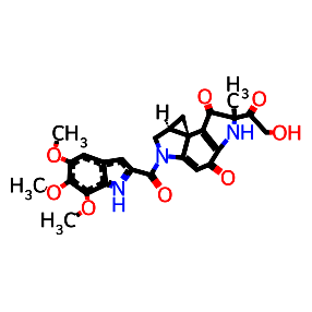 COc1cc2cc(C(=O)N3C[C@H]4C[C@@]45C3=CC(=O)C3=C5C(=O)C(C)(C(=O)CO)N3)[nH]c2c(OC)c1OC